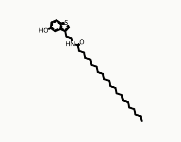 CCCCCCCCCCCCCCCCCCCCCC(=O)NCCc1csc2ccc(O)cc12